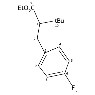 CCOC(=O)C(Cc1ccc(F)cc1)C(C)(C)C